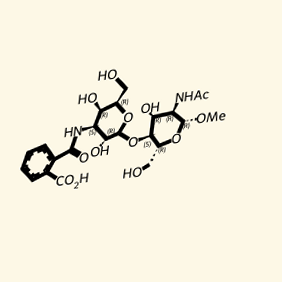 CO[C@@H]1O[C@H](CO)[C@@H](OC2O[C@H](CO)[C@H](O)[C@H](NC(=O)c3ccccc3C(=O)O)[C@H]2O)[C@H](O)[C@H]1NC(C)=O